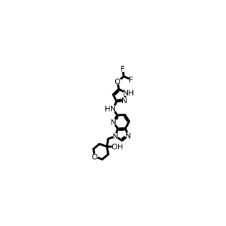 OC1(Cn2cnc3ccc(Nc4cc(OC(F)F)[nH]n4)nc32)CCOCC1